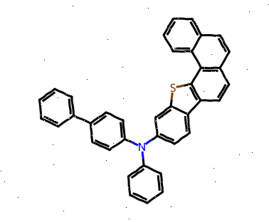 c1ccc(-c2ccc(N(c3ccccc3)c3ccc4c(c3)sc3c4ccc4ccc5ccccc5c43)cc2)cc1